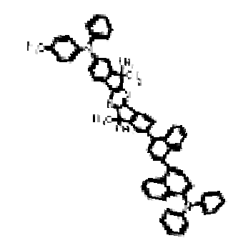 Cc1ccc(N(c2ccccc2)c2ccc3c(c2)C(C)(C)c2nc4c(nc2-3)C(C)(C)c2cc(-c3ccc(-c5ccc(N(c6ccccc6)c6ccccc6)c6ccccc56)c5ccccc35)ccc2-4)cc1